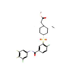 CC[C@@H]1C[C@@H](S(=O)(=O)c2cc(C(=O)Nc3cc(F)c(F)c(F)c3)ccc2Cl)C[C@H](C)[C@@]1(O)CC(=O)OC